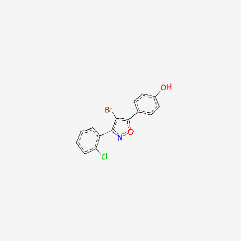 Oc1ccc(-c2onc(-c3ccccc3Cl)c2Br)cc1